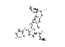 CCCCCCOc1cc(F)cc(C[C@H](N)C[C@H]2C(=O)N(Cc3ccccc3)CCN2C(=O)OC(C)(C)C)c1